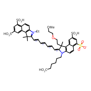 CC[N+]1=C(/C=C/C=C/C=C/C=C2/N(CCCCCC(=O)O)c3ccc4c(S(=O)(=O)[O-])cc(S(=O)(=O)O)cc4c3C2(C)CCOCCOC)C(C)(C)c2c1ccc1c(S(=O)(=O)O)cc(S(=O)(=O)O)cc21